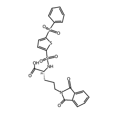 O=C(O)[C@@H](CCCN1C(=O)c2ccccc2C1=O)NS(=O)(=O)c1ccc(S(=O)(=O)c2ccccc2)s1